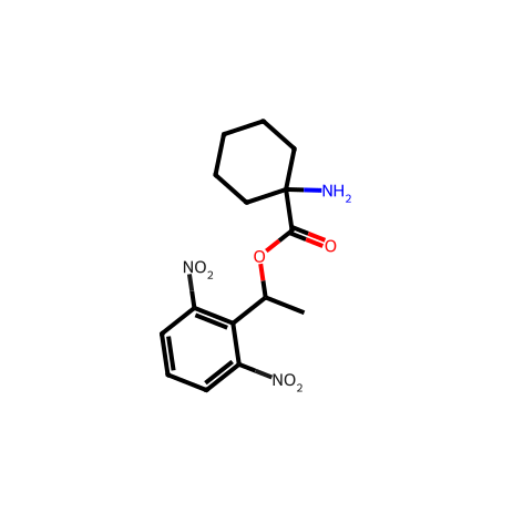 CC(OC(=O)C1(N)CCCCC1)c1c([N+](=O)[O-])cccc1[N+](=O)[O-]